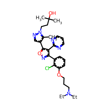 CCN(CC)CCCOc1cccc(-c2noc(-c3cnn(CCC(C)(C)O)c3C)c2-c2ncccn2)c1Cl